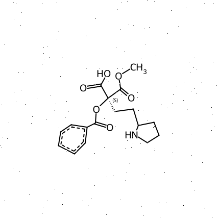 COC(=O)[C@@](CCC1CCCN1)(OC(=O)c1ccccc1)C(=O)O